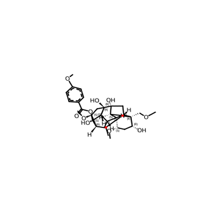 CCN1C[C@]2(COC)[C@H](O)C[C@H](OC)[C@@]34[C@@H]5C[C@@H]6[C@@H](OC)C[C@@](O)([C@H]5[C@@]6(O)OC(=O)c5ccc(OC)cc5)[C@@](O)(C[C@H]23)[C@@H]14